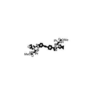 COC(=O)N[C@H](C(=O)N1CC2(CC2)C[C@H]1c1ncc(-c2ccc(C#Cc3ccc4nc([C@@H]5C[C@]6(CCOC6)CN5C(=O)[C@@H](NC(=O)OC)C(C)C)[nH]c4c3)cc2)[nH]1)C(C)C